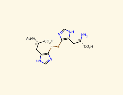 CC(=O)N[C@@H](Cc1[nH]cnc1SSc1nc[nH]c1C[C@H](N)C(=O)O)C(=O)O